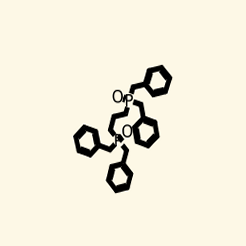 O=P(CCCP(=O)(Cc1ccccc1)Cc1ccccc1)(Cc1ccccc1)Cc1ccccc1